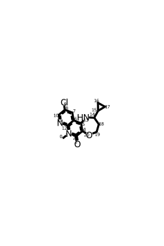 Cn1c(=O)c2c(c3cc(Cl)cnc31)NC(C1CC1)CCO2